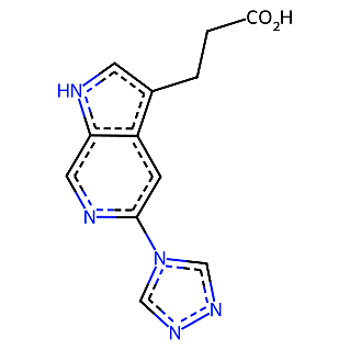 O=C(O)CCc1c[nH]c2cnc(-n3cnnc3)cc12